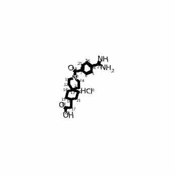 Cl.N=C(N)c1ccc(C(=O)N2CCC3(CCC(CC(=O)O)CC3)CC2)cc1